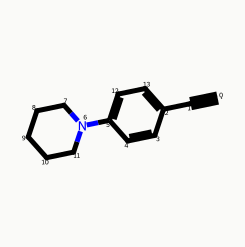 [C]#Cc1ccc(N2CCCCC2)cc1